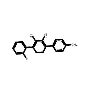 Cc1ccc(C2=C(Cl)C(Cl)=C(c3ccccc3Cl)[CH]C2)cc1